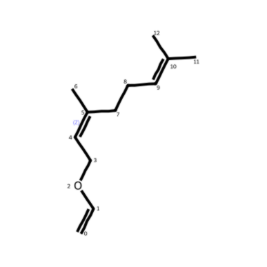 C=COC/C=C(/C)CCC=C(C)C